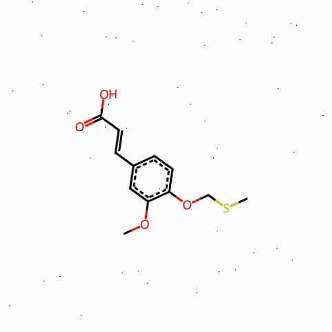 COc1cc(C=CC(=O)O)ccc1OCSC